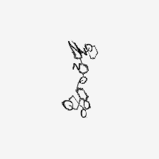 COC(=O)C1(c2cccc(COc3ccc(-c4ccnn4C4CCCCO4)nc3)c2)CCOCC1